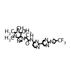 C=C1N(C)C(=O)c2c(ncn2[C@@H](C)C(=O)Nc2ccnc(-c3cnc(N4CC(C(F)(F)F)C4)nc3)n2)N1C